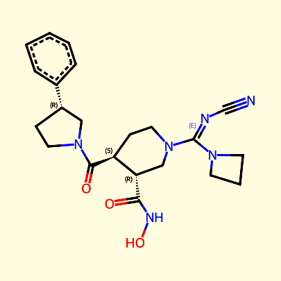 N#C/N=C(\N1CCC1)N1CC[C@H](C(=O)N2CC[C@H](c3ccccc3)C2)[C@@H](C(=O)NO)C1